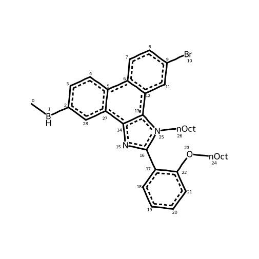 CBc1ccc2c3ccc(Br)cc3c3c(nc(-c4ccccc4OCCCCCCCC)n3CCCCCCCC)c2c1